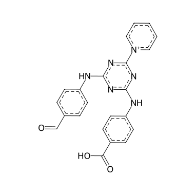 O=Cc1ccc(Nc2nc(Nc3ccc(C(=O)O)cc3)nc(-[n+]3ccccc3)n2)cc1